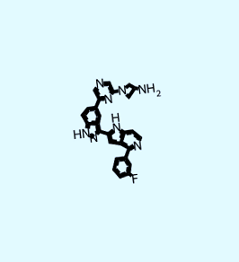 NC1CN(c2cncc(-c3ccc4[nH]nc(-c5cc6c(-c7cccc(F)c7)nccc6[nH]5)c4c3)n2)C1